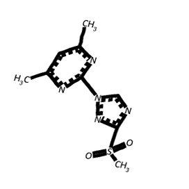 Cc1cc(C)nc(-n2cnc(S(C)(=O)=O)n2)n1